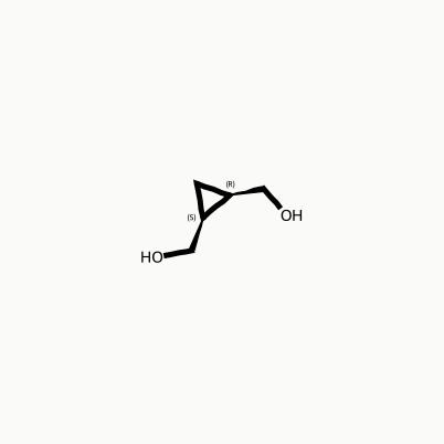 OC[C@@H]1C[C@@H]1CO